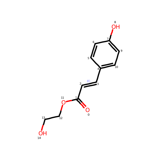 O=C(/C=C/c1ccc(O)cc1)OCCO